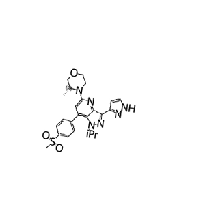 CC(C)n1nc(-c2cc[nH]n2)c2nc(N3CCOC[C@H]3C)cc(-c3ccc(S(C)(=O)=O)cc3)c21